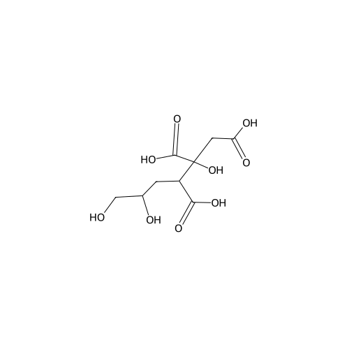 O=C(O)CC(O)(C(=O)O)C(CC(O)CO)C(=O)O